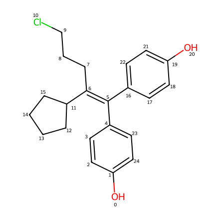 Oc1ccc(C(=C(CCCCl)C2CCCC2)c2ccc(O)cc2)cc1